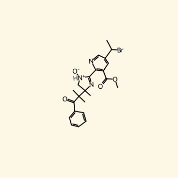 COC(=O)c1cc(C(C)Br)cnc1C1=NC(C)(C(C)(C)C(=O)c2ccccc2)C[NH+]1[O-]